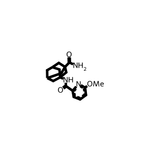 COc1cccc(C(=O)NC23CC4CC(C2)CC(C(N)=O)(C4)C3)n1